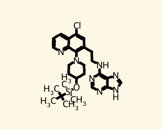 CC(C)(C)[Si](C)(C)OC1CCN(c2c(CCNc3ncnc4[nH]cnc34)cc(Cl)c3cccnc23)CC1